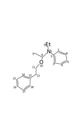 CCN(c1ccccc1)C(C)OCCc1ccccc1